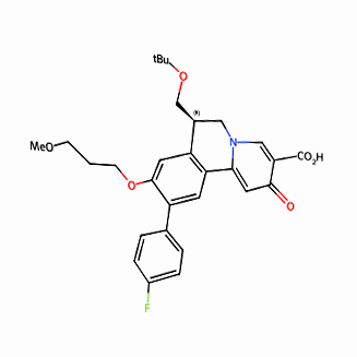 COCCCOc1cc2c(cc1-c1ccc(F)cc1)-c1cc(=O)c(C(=O)O)cn1C[C@@H]2COC(C)(C)C